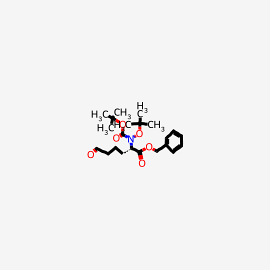 CC(C)(C)OC(=O)N(OC(C)(C)C)[C@@H](CCCC=O)C(=O)OCc1ccccc1